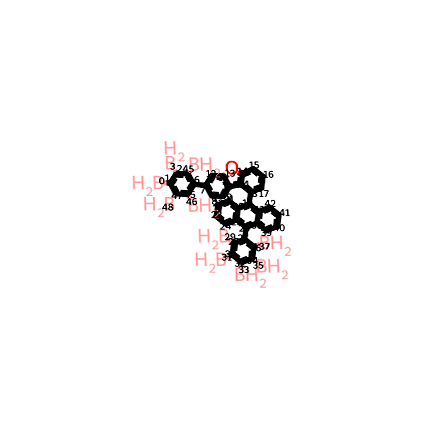 Bc1c(B)c(B)c(-c2ccc3c(c2)oc2cccc(-c4c5ccccc5c(-c5c(B)c(B)c(B)c(B)c5B)c5ccccc45)c23)c(B)c1B